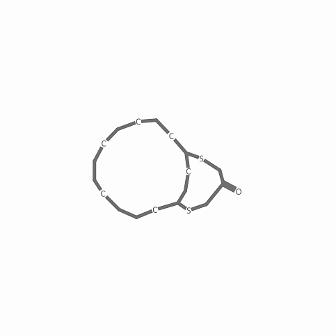 O=C1CSC2CCCCCCCCCCCC(CC2)SC1